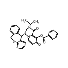 CC(C)N1CN(C2c3ccccc3CSc3ccccc32)n2ccc(=O)c(OC(=O)c3ccccc3)c2C1=O